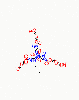 O=C(NCCn1c(=O)n(CCNC(=O)OCCOCCO)c(=O)n(CCNC(=O)OCCOCCO)c1=O)OCCOCCO